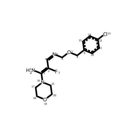 N/C(=C(F)\C=N/COCc1ccc(Cl)cc1)N1CCOCC1